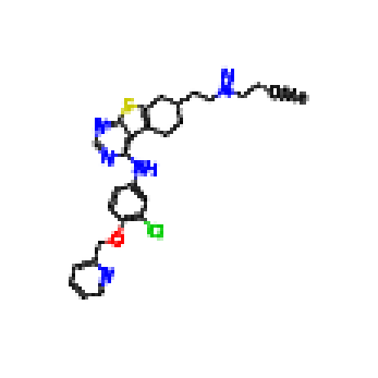 COCCNCCC1CCc2c(sc3ncnc(Nc4ccc(OCc5ccccn5)c(Cl)c4)c23)C1